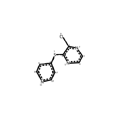 Clc1nccnc1Sc1ccncc1